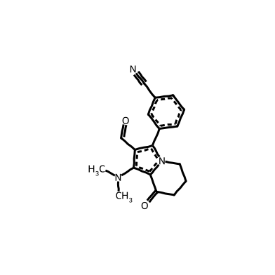 CN(C)c1c(C=O)c(-c2cccc(C#N)c2)n2c1C(=O)CCC2